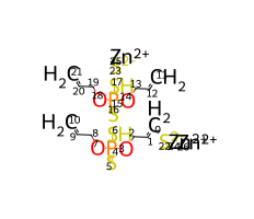 C=CCOP(=S)(S)OCC=C.C=CCOP(=S)(S)OCC=C.[S-2].[S-2].[Zn+2].[Zn+2].[Zn+2]